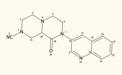 N#CN1CCN2CCN(c3cnc4ccccc4c3)C(=O)C2C1